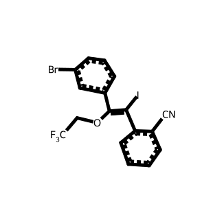 N#Cc1ccccc1C(I)=C(OCC(F)(F)F)c1cccc(Br)c1